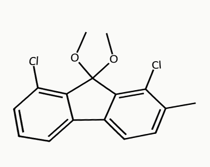 COC1(OC)c2c(Cl)cccc2-c2ccc(C)c(Cl)c21